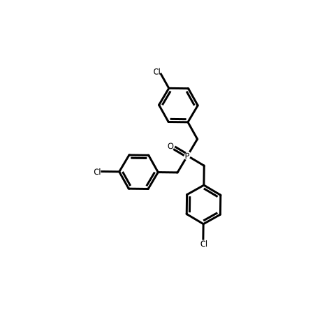 O=P(Cc1ccc(Cl)cc1)(Cc1ccc(Cl)cc1)Cc1ccc(Cl)cc1